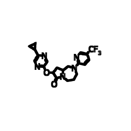 O=C1C(Oc2cnc(C3CC3)cn2)CC2CN(c3ccc(C(F)(F)F)cn3)CCCN12